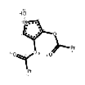 CC(C)C(=O)Oc1c[nH]cc1OC(=O)C(C)C.Cl